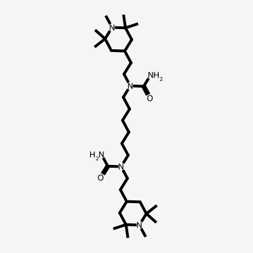 CN1C(C)(C)CC(CCN(CCCCCCN(CCC2CC(C)(C)N(C)C(C)(C)C2)C(N)=O)C(N)=O)CC1(C)C